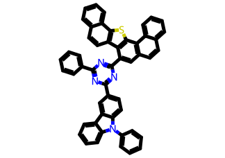 c1ccc(-c2nc(-c3ccc4c(c3)c3ccccc3n4-c3ccccc3)nc(-c3cc4ccc5ccccc5c4c4sc5c6ccccc6ccc5c34)n2)cc1